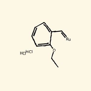 CCOc1ccccc1[CH]=[Ru].Cl.Cl